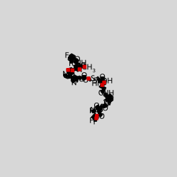 COc1ncc(-c2ccc3nccc(-c4cncc(COC(=O)OCCSSCC(NC(=O)CCC(=O)NCc5cccc6c5CN(C(=O)CC5CC(C(=O)N7CC(F)(F)C[C@H]7C#N)NC5=O)C6)C(=O)O)c4)c3c2)cc1NS(=O)(=O)c1ccc(F)cc1F